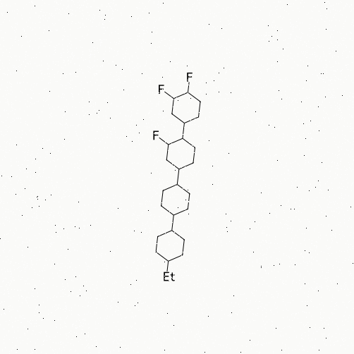 CCC1CCC(C2CCC(C3CCC(C4CCC(F)C(F)C4)C(F)C3)CC2)CC1